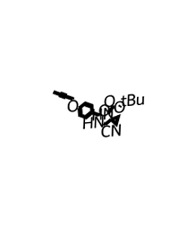 CC#CCOc1ccc(C(=O)NC(C#N)C2(NC(=O)OC(C)(C)C)CC2)cc1